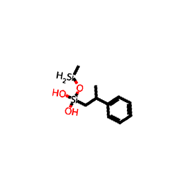 C[SiH2]O[Si](O)(O)CC(C)c1ccccc1